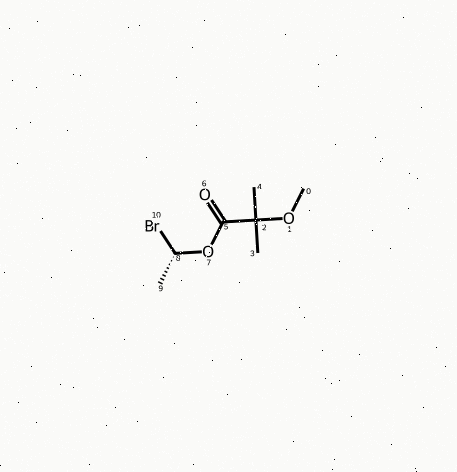 COC(C)(C)C(=O)O[C@H](C)Br